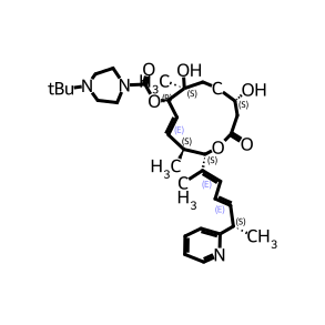 C/C(=C\C=C\[C@H](C)c1ccccn1)[C@H]1OC(=O)C[C@@H](O)CC[C@](C)(O)[C@H](OC(=O)N2CCN(C(C)(C)C)CC2)/C=C/[C@@H]1C